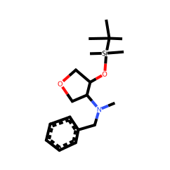 CN(Cc1ccccc1)C1COCC1O[Si](C)(C)C(C)(C)C